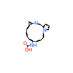 O=C(O)NC1=C/C=C\C=C2C=C\2/N=C\c2cccn2/C=C/C=C\1